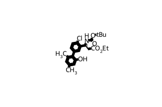 CCOC(=O)C[C@H](NC(=O)OC(C)(C)C)c1cc(-c2c(C)cc(C)cc2O)ccc1Cl